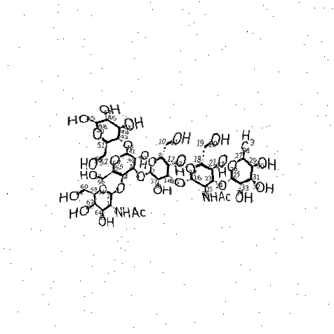 CC(=O)N[C@H]1[C@H](O[C@@H]2[C@H](O[C@H]3O[C@H](CO)[C@H](O)[C@H](O[C@@H]4O[C@H](CO)[C@@H](O)[C@H](O[C@@H]5O[C@@H](C)[C@@H](O)[C@@H](O)[C@@H]5O)[C@H]4NC(C)=O)[C@H]3O)[C@@H](O)[C@H](O[C@H]3[C@H](O)[C@@H](O)[C@H](O)O[C@@H]3CO)O[C@@H]2CO)O[C@H](CO)[C@H](O)[C@@H]1O